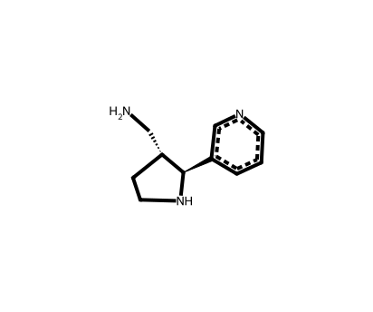 NC[C@H]1CCN[C@@H]1c1cccnc1